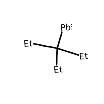 CC[C]([Pb])(CC)CC